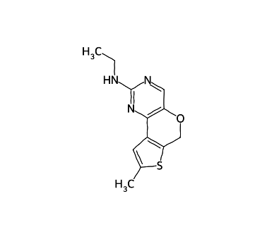 CCNc1ncc2c(n1)-c1cc(C)sc1CO2